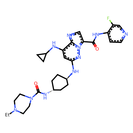 CCN1CCN(C(=O)N[C@H]2CC[C@H](Nc3cc(NC4CC4)c4ncc(C(=O)Nc5ccncc5F)n4n3)CC2)CC1